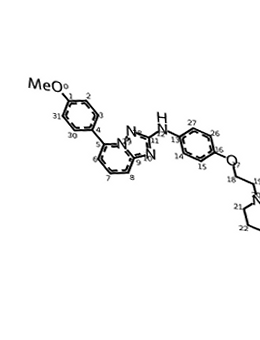 COc1ccc(-c2cccc3nc(Nc4ccc(OCCN5CCCCC5)cc4)nn23)cc1